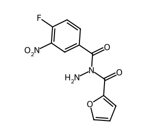 NN(C(=O)c1ccc(F)c([N+](=O)[O-])c1)C(=O)c1ccco1